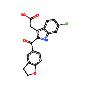 O=C(O)Cc1c(C(=O)c2ccc3c(c2)CCO3)[nH]c2cc(Cl)ccc12